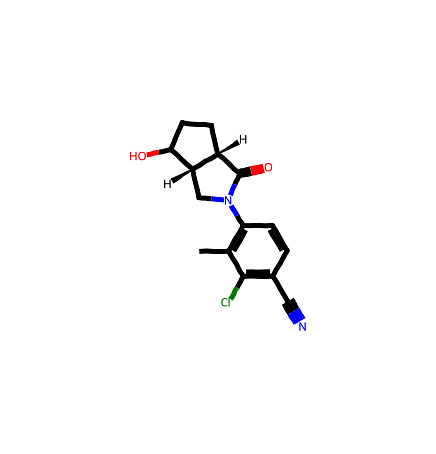 Cc1c(N2C[C@@H]3C(O)CC[C@@H]3C2=O)ccc(C#N)c1Cl